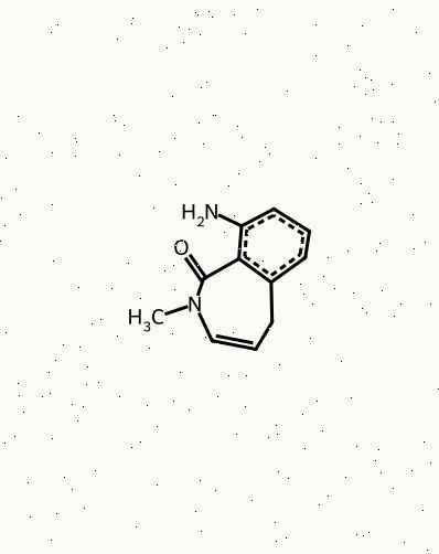 CN1C=CCc2cccc(N)c2C1=O